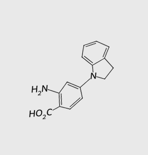 Nc1cc(N2CCc3ccccc32)ccc1C(=O)O